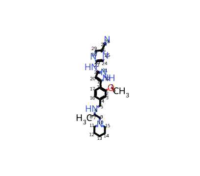 COc1cc(CN[C@H](C)CN2CCCCC2)ccc1-c1cc(Nc2cnc(C#N)cn2)n[nH]1